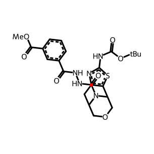 COC(=O)c1cccc(C(=O)NNC(=O)N2C3COCC2c2sc(NC(=O)OC(C)(C)C)nc2C3)c1